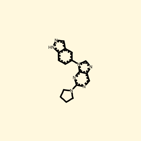 c1cc2[nH]ncc2cc1-n1cnc2cnc(N3CCCC3)nc21